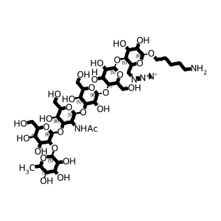 CC(=O)NC1C(O[C@@H]2OC(CO)[C@H](O)C(O)C2O[C@@H]2OC(C)[C@@H](O)C(O)C2O)[C@@H](O)C(CO)O[C@H]1OC1C(O)[C@@H](O[C@H]2C(CO)O[C@@H](O[C@@H]3C(CN=[N+]=[N-])O[C@@H](OCCCCCN)C(O)C3O)C(O)C2O)OC(CO)[C@@H]1O